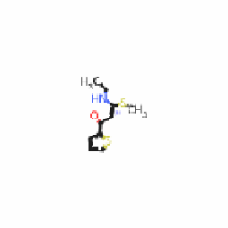 CCN/C(=C\C(=O)c1cccs1)SC